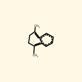 CC1=c2ccccc2=C(C)CC1